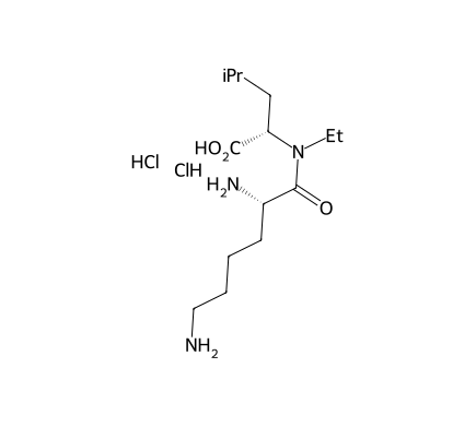 CCN(C(=O)[C@@H](N)CCCCN)[C@@H](CC(C)C)C(=O)O.Cl.Cl